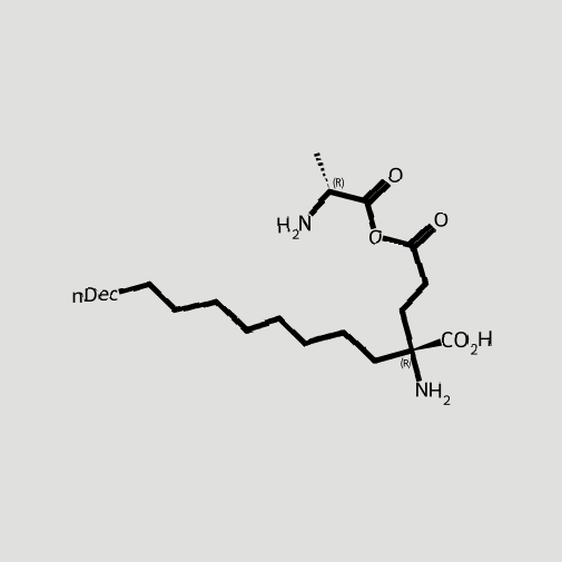 CCCCCCCCCCCCCCCCCC[C@@](N)(CCC(=O)OC(=O)[C@@H](C)N)C(=O)O